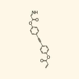 C=CC(=O)Oc1ccc(C#Cc2ccc(OC(=O)C=N)cc2)cc1